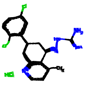 Cc1ccnc2c1C(=NNC(=N)N)CC(c1cc(Cl)ccc1Cl)C2.Cl